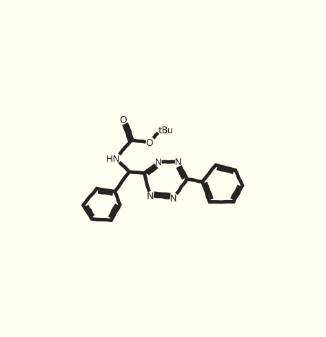 CC(C)(C)OC(=O)NC(c1ccccc1)c1nnc(-c2ccccc2)nn1